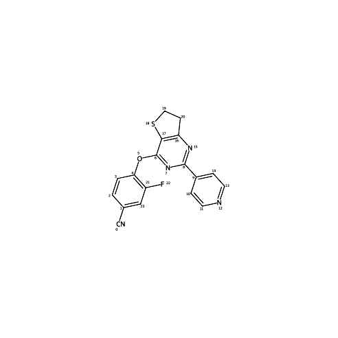 N#Cc1ccc(Oc2nc(-c3ccncc3)nc3c2SCC3)c(F)c1